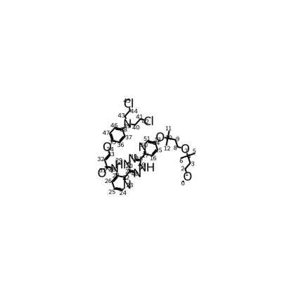 COCCC(C)(C)OCCC(C)(C)Oc1ccc(C2=NNC(c3ncccc3N(C)C(=O)/C=C/Oc3ccc(N(CCCl)CCCl)cc3)=NN2)nc1